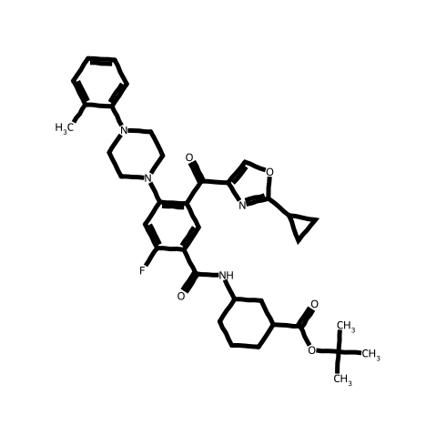 Cc1ccccc1N1CCN(c2cc(F)c(C(=O)NC3CCCC(C(=O)OC(C)(C)C)C3)cc2C(=O)c2coc(C3CC3)n2)CC1